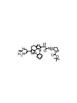 C=C/N=C\C(=C/N)c1nn(-c2ccccc2F)c2c1CCc1nc(NC(=O)NC[C@H]3CCCN3C(=O)OC(C)(C)C)sc1-2